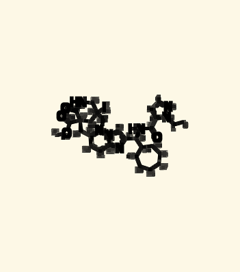 CCn1nccc1C(=O)N[C@H](c1cn2nc(C[C@]3(C(=O)OC)CC(F)(F)CNC3=O)ccc2n1)C1CCCCCC1